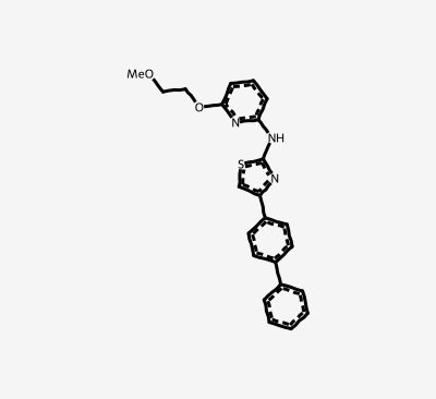 COCCOc1cccc(Nc2nc(-c3ccc(-c4ccccc4)cc3)cs2)n1